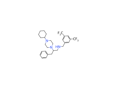 FC(F)(F)c1cc(CNCC(Cc2ccccc2)N2CCN(C3CCCCC3)CC2)cc(C(F)(F)F)c1